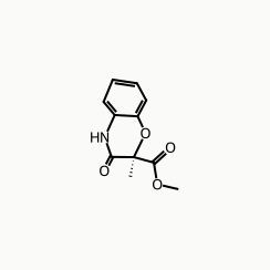 COC(=O)[C@]1(C)Oc2ccccc2NC1=O